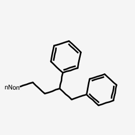 CCCCCCCCCCCC(Cc1ccccc1)c1ccccc1